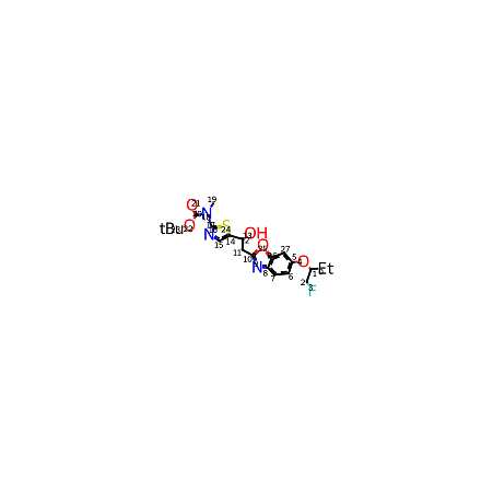 CCC(CF)Oc1ccc2nc(CC(O)c3cnc(N(C)C(=O)OC(C)(C)C)s3)oc2c1